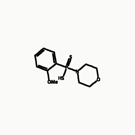 COc1ccccc1P(=S)(S)N1CCOCC1